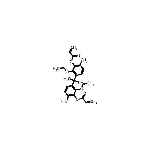 C=CC(=O)Oc1c(C)ccc(C(C)(C)c2ccc(C)c(OC(=O)C=C)c2OCC)c1OCC